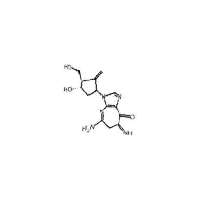 C=C1[C@H](CO)[C@@H](O)C[C@@H]1n1cnc2c1N=C(N)CC(=N)C2=O